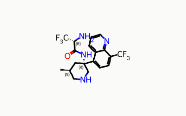 C[C@@H]1CNC[C@](NC(=O)[C@@H](N)C(F)(F)F)(c2ccc(C(F)(F)F)c3ncccc23)C1